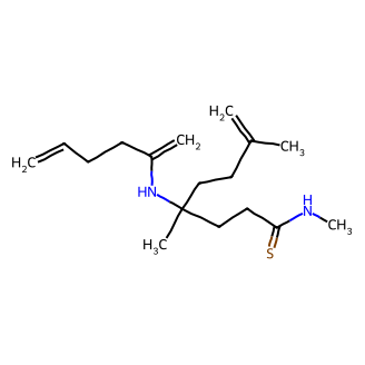 C=CCCC(=C)NC(C)(CCC(=C)C)CCC(=S)NC